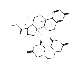 C[C@@H](CN1CC(=O)NC(=O)C1)N1CC(=O)NC(=O)C1.C[C@@H]1C[C@H]2[C@@H]3CCC4=CC(=O)C=C[C@]4(C)[C@@]3(F)[C@@H](O)C[C@]2(C)[C@@]1(O)C(=O)CO